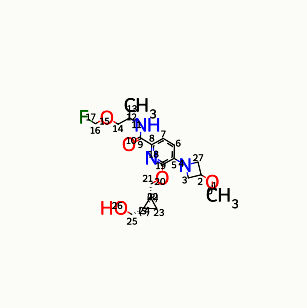 COC1CN(c2ccc(C(=O)NC(C)COCF)nc2OC[C@@H]2C[C@@H]2CO)C1